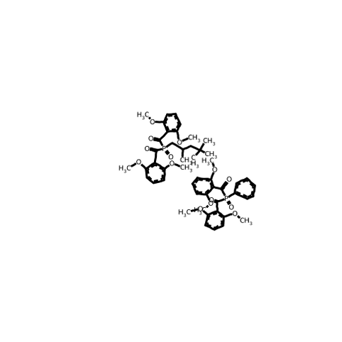 COc1cccc(OC)c1C(=O)P(=O)(C(=O)c1c(OC)cccc1OC)c1ccccc1.COc1cccc(OC)c1C(=O)P(=O)(CC(C)CC(C)(C)C)C(=O)c1c(OC)cccc1OC